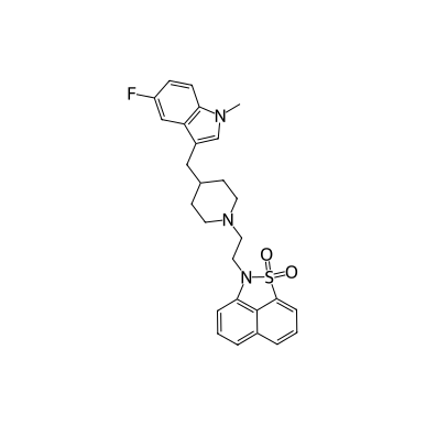 Cn1cc(CC2CCN(CCN3c4cccc5cccc(c45)S3(=O)=O)CC2)c2cc(F)ccc21